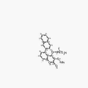 CC(=O)O.CCCOc1c(OCCC)c2c(-c3ccc4ccccc4c3)cccc2oc1=O